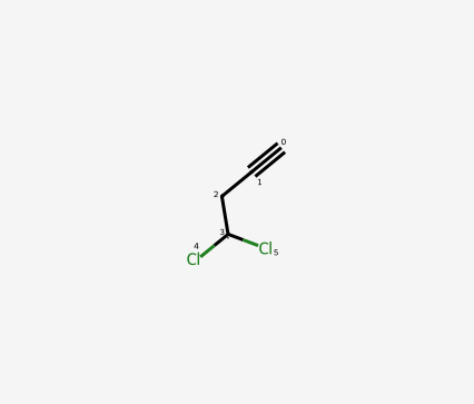 C#CC[C](Cl)Cl